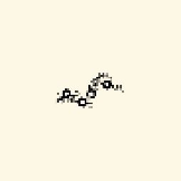 Cc1ccc(N(C(N)=O)c2ncc3c(n2)CCN(c2cc(NC(=O)c4cccc(C(F)(F)F)c4)ccc2Cl)C3)cc1